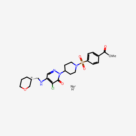 COC(=O)c1ccc(S(=O)(=O)N2CCC(n3ncc(NC[C@H]4CCCOC4)c(Cl)c3=O)CC2)cc1.[H-].[Na+]